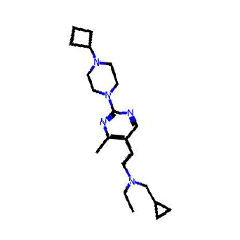 CCN(CCc1cnc(N2CCN(C3CCC3)CC2)nc1C)CC1CC1